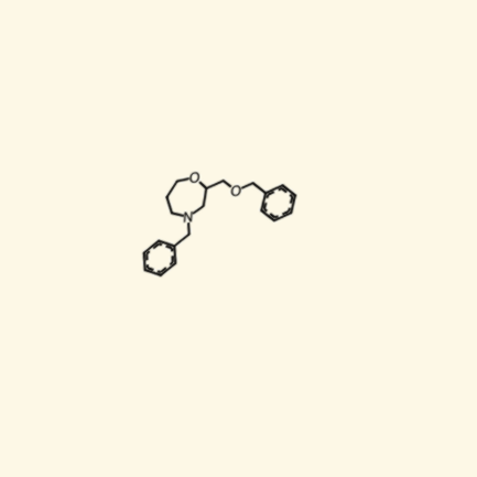 c1ccc(COCC2CN(Cc3ccccc3)CCCO2)cc1